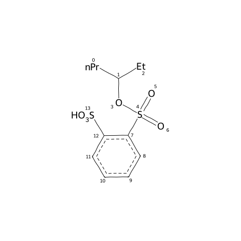 CCCC(CC)OS(=O)(=O)c1ccccc1S(=O)(=O)O